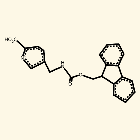 O=C(NCc1ccc(C(=O)O)nc1)OCC1c2ccccc2-c2ccccc21